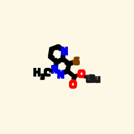 Cn1nc(C(=O)OC(C)(C)C)c(=S)c2ncccc21